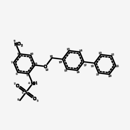 CS(=O)(=O)Nc1ccc([N+](=O)[O-])cc1OCc1ccc(-c2ccccc2)cc1